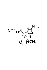 CN1CCOCC1.N#CCO/N=C(\C(=O)O)c1csc(N)n1